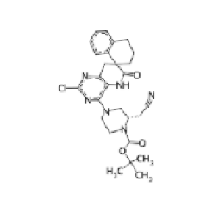 CC(C)(C)OC(=O)N1CCN(c2nc(Cl)nc3c2NC(=O)C2(CCCc4ccccc42)C3)C[C@@H]1CC#N